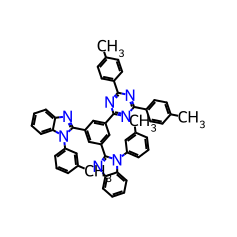 Cc1ccc(-c2nc(-c3ccc(C)cc3)nc(-c3cc(-c4nc5ccccc5n4-c4cccc(C)c4)cc(-c4nc5ccccc5n4-c4cccc(C)c4)c3)n2)cc1